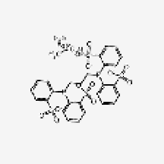 CC(=O)O.O=S(=O)([O-])c1ccccc1P(CCCP(c1ccccc1S(=O)(=O)[O-])c1ccccc1S(=O)(=O)[O-])c1ccccc1S(=O)(=O)[O-].[Pd+2].[Pd+2]